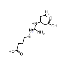 CCC(CC(=O)O)N/C(N)=N/SCCCC(=O)O